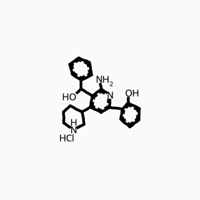 Cl.Nc1nc(-c2ccccc2O)cc(C2CCCNC2)c1C(O)c1ccccc1